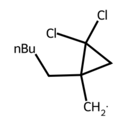 [CH2]C1(CCCCC)CC1(Cl)Cl